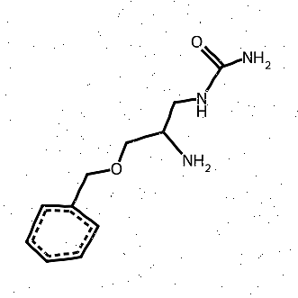 NC(=O)NCC(N)COCc1ccccc1